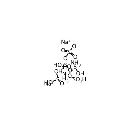 N.N.O=S(=O)(O)O.O=S(=O)(O)OOS(=O)(=O)O.O=S(=O)([O-])[O-].O=S(O)O.[Na+].[Na+]